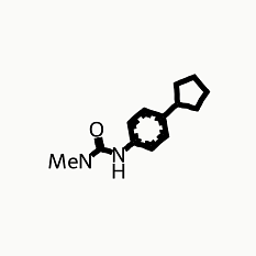 CNC(=O)Nc1ccc(C2CCCC2)cc1